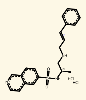 C[C@H](CNC/C=C/c1ccccc1)NS(=O)(=O)c1ccc2cnccc2c1.Cl.Cl